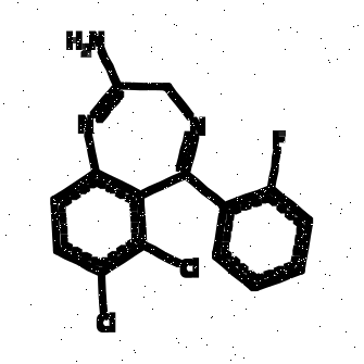 NC1=Nc2ccc(Cl)c(Cl)c2C(c2ccccc2F)=NC1